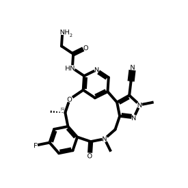 C[C@@H]1Oc2cc(cnc2NC(=O)CN)-c2c(nn(C)c2C#N)CN(C)C(=O)c2ccc(F)cc21